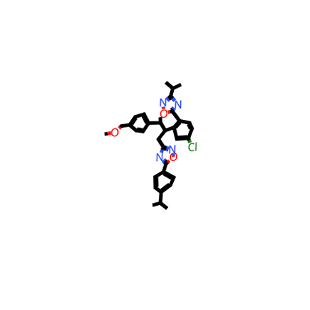 COCc1ccc(C(C)C(Cc2noc(-c3ccc(C(C)C)cc3)n2)c2cc(Cl)ccc2-c2nc(C(C)C)no2)cc1